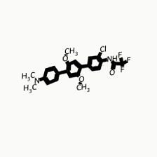 COc1cc(-c2ccc(NC(=O)C(F)(F)F)c(Cl)c2)c(OC)cc1-c1ccc(N(C)C)cc1